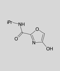 CC(C)NC(=O)c1nc(O)co1